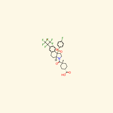 C[C@]1(C(=O)N2CC[C@@]3(S(=O)(=O)c4ccc(F)cc4)c4ccc(C(F)(C(F)(F)F)C(F)(F)F)cc4CC[C@@H]23)CC[C@@H](C(=O)O)CC1